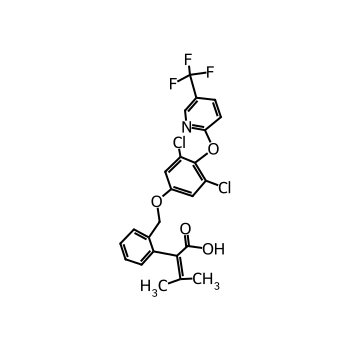 CC(C)=C(C(=O)O)c1ccccc1COc1cc(Cl)c(Oc2ccc(C(F)(F)F)cn2)c(Cl)c1